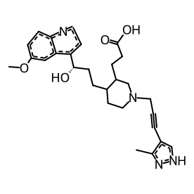 COc1ccc2nccc([C@@H](O)CCC3CCN(CC#Cc4c[nH]nc4C)CC3CCC(=O)O)c2c1